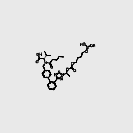 CCCCC(=O)N(Cc1ccc(-c2ccccc2-c2nnn(C(C)OC(=O)OCCCCON(O)O)n2)cc1)[C@H](C(=O)O)C(C)C